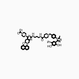 CCC(=O)N1CCN(c2nc(NCCCNC(=O)C3CCN(Cc4ccc(-n5c(C)nnc5-c5cc(C(C)C)c(O)cc5O)cc4)CC3)nc3c2CCN(c2cccc4cccc(Cl)c24)C3)CC1